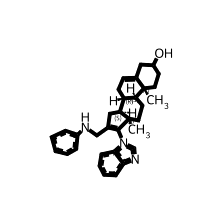 C[C@]12CCC(O)CC1=CC[C@@H]1[C@@H]2CC[C@]2(C)C(n3cnc4ccccc43)=C(CNc3ccccc3)C[C@@H]12